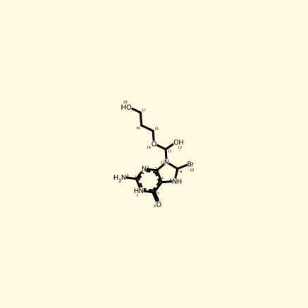 Nc1nc2c(c(=O)[nH]1)NC(Br)N2C(O)OCCCO